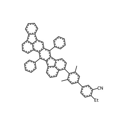 CCc1ccc(-c2cc(C)c(-c3ccc4c5c(-c6ccccc6)c6cc7c8ccccc8c8cccc(c6c(-c6ccccc6)c5c5cccc3c45)c87)c(C)c2)cc1C#N